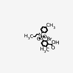 CCCN(c1ccc(C)cc1)S(=O)(=O)c1ccc(C)c(C(=O)O)c1Br